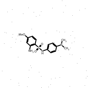 COc1ccc(S(=O)(=O)Nc2ccc(N(C)C)cc2)c(N)c1